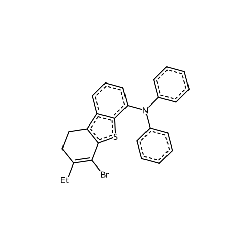 CCC1=C(Br)c2sc3c(N(c4ccccc4)c4ccccc4)cccc3c2CC1